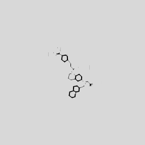 Cl.N=C(N)c1ccc(CCC(=O)N2CCCc3cc(N(CC(=O)O)Cc4ccc5ccccc5c4)ccc32)cc1